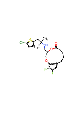 CC(C)(Cc1ccc(Cl)s1)NCC1COc2cc(cc(F)c2F)CCCCC(=O)O1